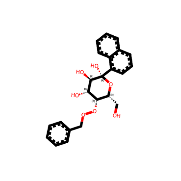 OC[C@H]1O[C@](O)(c2cccc3ccccc23)[C@H](O)[C@@H](O)[C@H]1OOCc1ccccc1